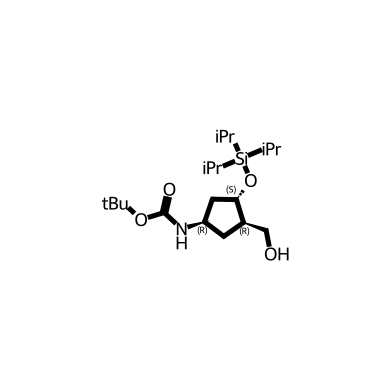 CC(C)[Si](O[C@H]1C[C@H](NC(=O)OC(C)(C)C)C[C@@H]1CO)(C(C)C)C(C)C